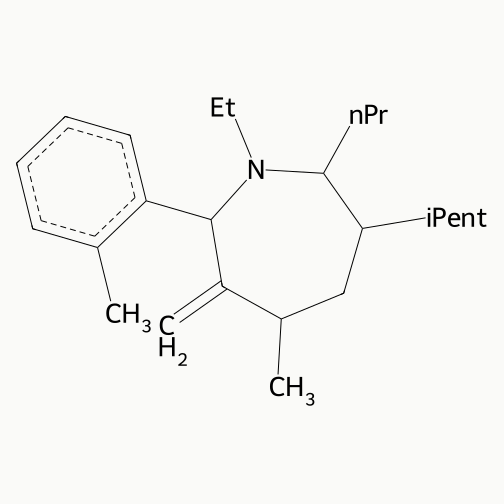 C=C1C(C)CC(C(C)CCC)C(CCC)N(CC)C1c1ccccc1C